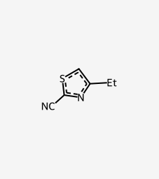 CCc1csc(C#N)n1